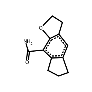 NC(=O)c1c2c(cc3c1OCC3)CCC2